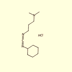 CN(C)CCCN=C=NC1CCCCC1.Cl